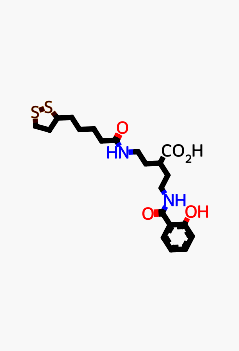 O=C(CCCCC1CCSS1)NCCC(CCNC(=O)c1ccccc1O)C(=O)O